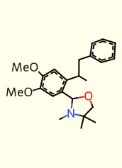 COc1cc(C(C)Cc2ccccc2)c(C2OCC(C)(C)N2C)cc1OC